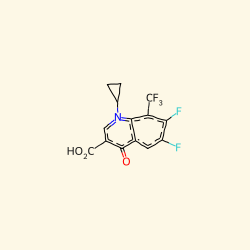 O=C(O)c1cn(C2CC2)c2c(C(F)(F)F)c(F)c(F)cc2c1=O